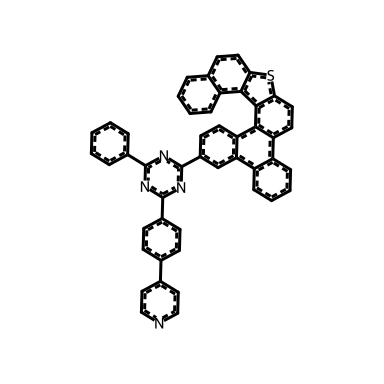 c1ccc(-c2nc(-c3ccc(-c4ccncc4)cc3)nc(-c3ccc4c(c3)c3ccccc3c3ccc5sc6ccc7ccccc7c6c5c34)n2)cc1